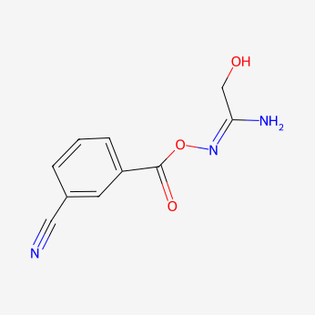 N#Cc1cccc(C(=O)O/N=C(/N)CO)c1